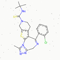 Cc1nnc2n1-c1sc3c(c1C(c1ccccc1Cl)=NC2)CCN(C(=S)NC(C)(C)C)C3